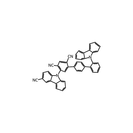 N#Cc1ccc2c(c1)c1ccccc1n2-c1cc(-c2ccc(-c3ccccc3-n3c4ccccc4c4ccccc43)cc2)c(C#N)cc1C#N